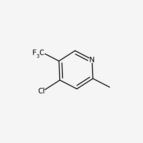 Cc1cc(Cl)c(C(F)(F)F)cn1